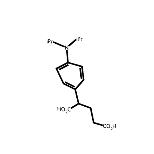 CC(C)N(c1ccc(C(CCC(=O)O)C(=O)O)cc1)C(C)C